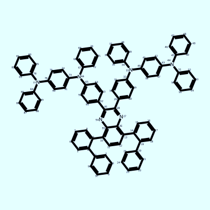 c1ccc(-c2ccccc2-c2ccc(-c3ccccc3-c3ccccc3)c3nc(-c4ccc(N(c5ccccc5)c5ccc(N(c6ccccc6)c6ccccc6)cc5)cc4)c(-c4ccc(N(c5ccccc5)c5ccc(N(c6ccccc6)c6ccccc6)cc5)cc4)nc23)cc1